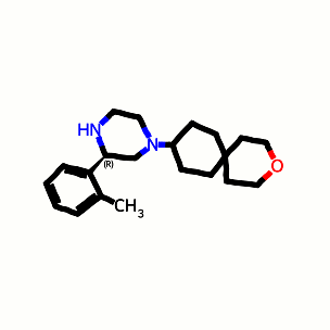 Cc1ccccc1[C@@H]1CN(C2CCC3(CCOCC3)CC2)CCN1